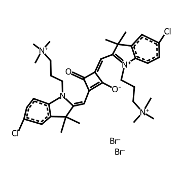 CC1(C)C(=CC2=C([O-])C(=CC3=[N+](CCC[N+](C)(C)C)c4ccc(Cl)cc4C3(C)C)C2=O)N(CCC[N+](C)(C)C)c2ccc(Cl)cc21.[Br-].[Br-]